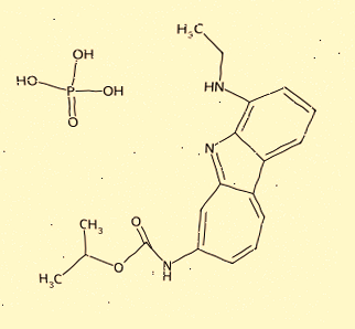 CCNc1cccc2c3cccc(NC(=O)OC(C)C)cc-3nc12.O=P(O)(O)O